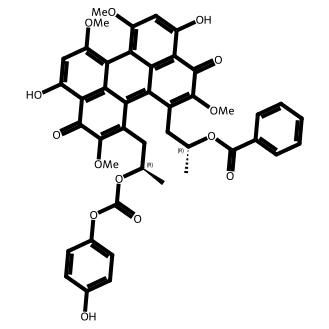 COc1c(C[C@@H](C)OC(=O)Oc2ccc(O)cc2)c2c3c(C[C@@H](C)OC(=O)c4ccccc4)c(OC)c(=O)c4c(O)cc(OC)c(c5c(OC)cc(O)c(c1=O)c52)c43